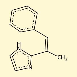 CC(=Cc1ccccc1)c1ncc[nH]1